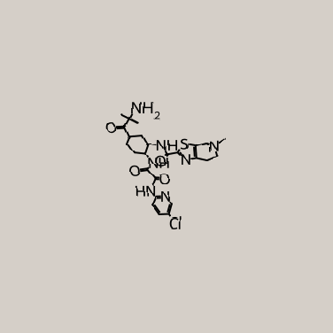 CN1CCc2nc(C(=O)N[C@@H]3CC(C(=O)C(C)(C)N)CC[C@@H]3NC(=O)C(=O)Nc3ccc(Cl)cn3)sc2C1